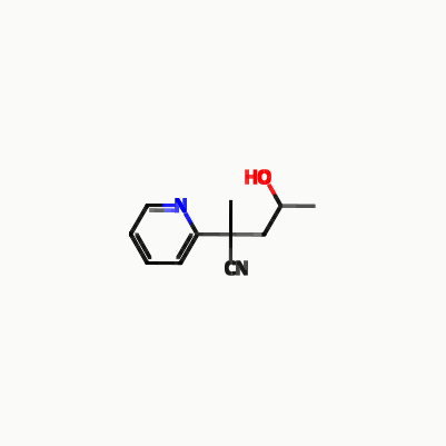 CC(O)CC(C)(C#N)c1ccccn1